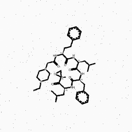 CCN1CCN(CC(=O)N[C@@H](CCc2ccccc2)C(=O)N[C@@H](CC(C)C)C(=O)N[C@@H](Cc2ccccc2)C(=O)N[C@@H](CC(C)C)C(=O)[C@@]2(C)CO2)CC1